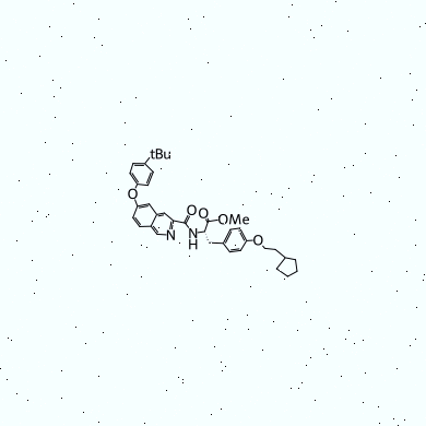 COC(=O)[C@H](Cc1ccc(OCCC2CCCC2)cc1)NC(=O)c1cc2cc(Oc3ccc(C(C)(C)C)cc3)ccc2cn1